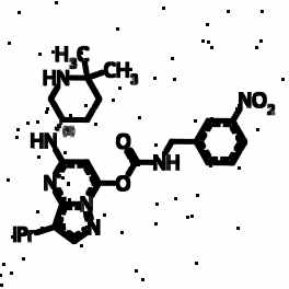 CC(C)c1cnn2c(OC(=O)NCc3cccc([N+](=O)[O-])c3)cc(N[C@H]3CCC(C)(C)NC3)nc12